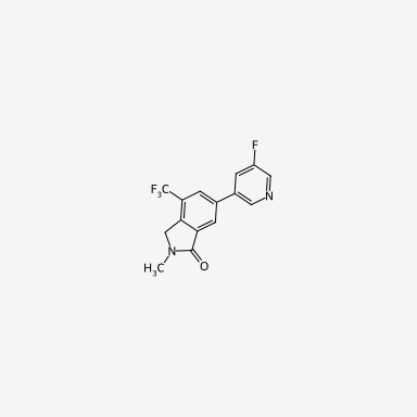 CN1Cc2c(cc(-c3cncc(F)c3)cc2C(F)(F)F)C1=O